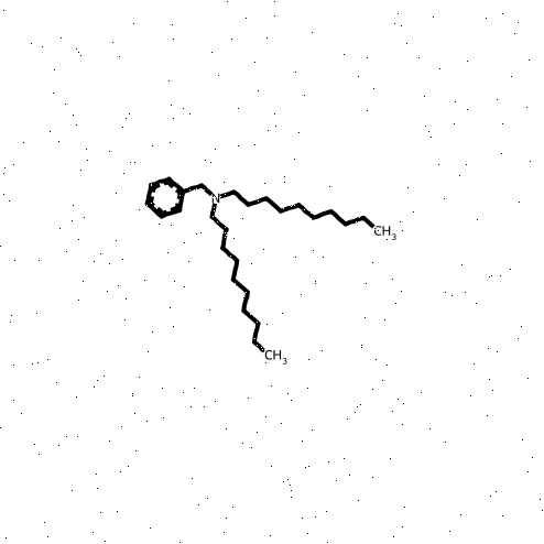 CCCCCCCCCCN(CCCCCCCCCC)Cc1ccccc1